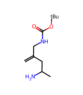 C=C(CNC(=O)OC(C)(C)C)CC(C)N